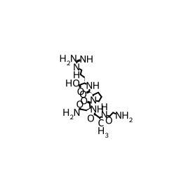 C[C@H](NC(=O)CN)C(=O)N[C@@H](CC(N)=O)C(=O)N1CCC[C@H]1C(=O)N[C@@H](CCCNC(=N)N)C(=O)O